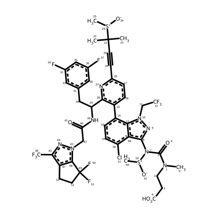 CN(CCC(=O)O)C(=O)N(c1nn(CC(F)(F)F)c2c(-c3ccc(C#CC(C)(C)[S+](C)[O-])nc3C(Cc3cc(F)cc(F)c3)NC(=O)Cn3nc(C(F)(F)F)c4c3C(F)(F)CC4)ccc(Cl)c12)[S+](C)[O-]